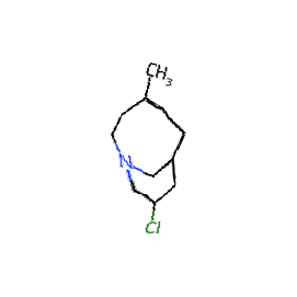 CC1CCC2CC(Cl)CN(CC1)C2